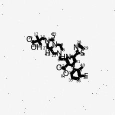 COC(=O)C1=C(CN2CCN3C(=S)N(CC(C)(C)C(=O)O)C[C@@H]3C2)NC(c2nccs2)=C[C@H]1c1cccc(F)c1C